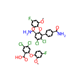 COc1cc(F)ccc1Oc1c(C(N)=O)cc(Cl)c(Cl)c1-c1ccc(C(N)=O)cc1.COc1cc(F)ccc1Oc1cc(Cl)c(Cl)cc1C(=O)O